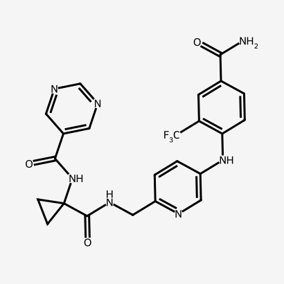 NC(=O)c1ccc(Nc2ccc(CNC(=O)C3(NC(=O)c4cncnc4)CC3)nc2)c(C(F)(F)F)c1